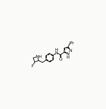 CC(C)c1cc(C(=O)Nc2ccc(CC3NCC3F)cc2)[nH]n1